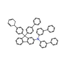 C1=CCC(c2ccc(C3(c4ccc(-c5ccccc5)cc4)c4ccccc4-c4ccc(N(c5cccc(-c6ccccc6)c5)c5cccc(-c6ccccc6)c5)cc43)cc2)C=C1